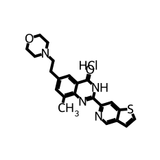 Cc1cc(CCN2CCOCC2)cc2c(=O)[nH]c(-c3cc4sccc4cn3)nc12.Cl